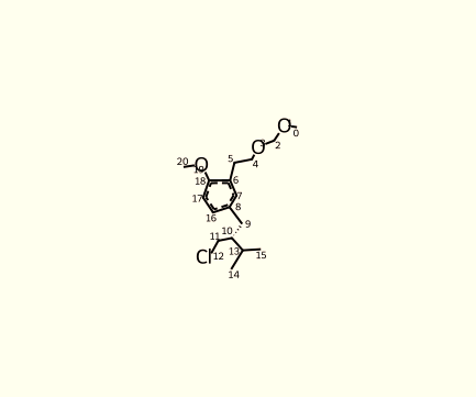 COCOCCc1cc(C[C@@H](CCl)C(C)C)ccc1OC